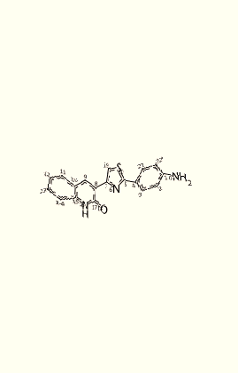 Nc1ccc(-c2nc(-c3cc4ccccc4[nH]c3=O)cs2)cc1